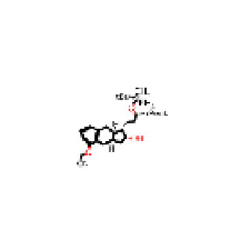 CCCCC[C@@H](CC[C@H]1[C@@H]2Cc3cccc(OCC#N)c3C[C@@H]2C[C@@H]1O)O[Si](C)(C)C(C)(C)C